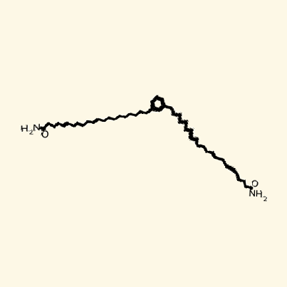 NC(=O)CCCC=CCC=CCC=CCC=CCCCCCCc1cccc(CCCCCCC=CCC=CCC=CCC=CCCCC(N)=O)c1